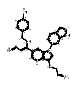 C=CCNc1cn(-c2ccc3cn[nH]c3c2)c2cc(/C(=C/C=N)NCc3ccc(C#N)cc3)cnc12